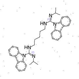 CC(C)/N=C(/NCCCCCN/C(=N/C(C)C)n1c2ccccc2c2ccccc21)n1c2ccccc2c2ccccc21